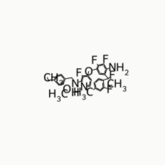 CCc1ccc(CNc2nccc(Oc3cc(C(C)(F)c4ccc(C)cc4F)c(N)c(F)c3F)c2F)c(OC)c1